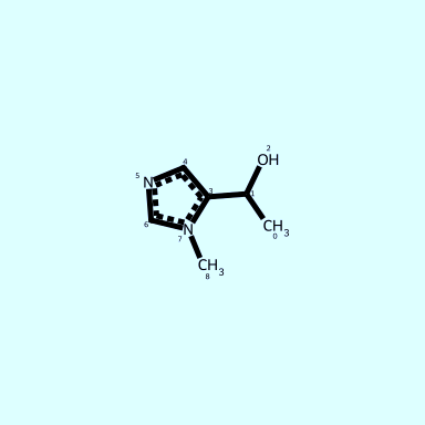 CC(O)c1cncn1C